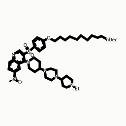 CCCCCCCCCCCCCCCCCCCCOc1ccc(S(=O)(=O)c2cnc3ccc([S@+](C)[O-])cc3c2N2CCC(N3CCN(C4CCN(CC)CC4)CC3)CC2)cc1